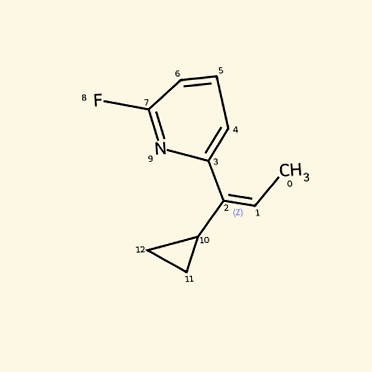 C/C=C(\c1cccc(F)n1)C1CC1